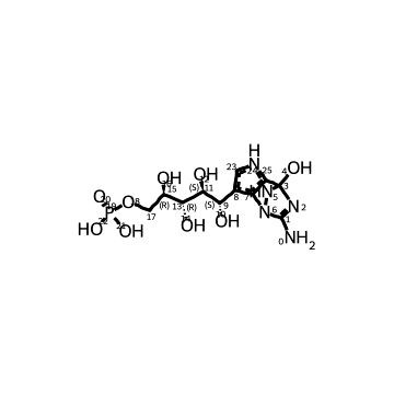 NC1=NC2(O)NN1c1c([C@H](O)[C@H](O)[C@H](O)[C@H](O)COP(=O)(O)O)c[nH]c12